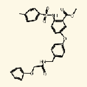 COC(=O)c1cc(Oc2ccc(CNC(=O)COc3ccccc3)cc2)ccc1NS(=O)(=O)c1ccc(C)cc1